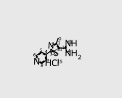 Cc1nc(-c2ccncc2)sc1C(=N)N.Cl